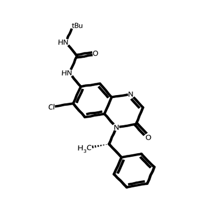 C[C@@H](c1ccccc1)n1c(=O)cnc2cc(NC(=O)NC(C)(C)C)c(Cl)cc21